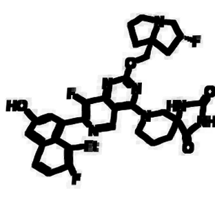 CCc1c(F)ccc2cc(O)cc(-c3ncc4c(N5CCCC6(C5)NC(=O)NC6=O)nc(OC[C@@]56CCCN5C[C@H](F)C6)nc4c3F)c12